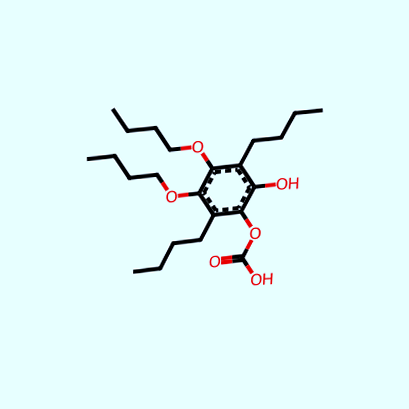 CCCCOc1c(CCCC)c(O)c(OC(=O)O)c(CCCC)c1OCCCC